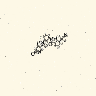 Cc1ccc(NC(=O)c2cccc(C(C)(C)C#N)c2)cc1NC(=O)c1ccc(Cl)nc1